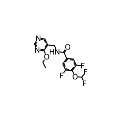 CCOc1ncncc1CNC(=O)c1cc(F)c(OC(F)F)c(F)c1